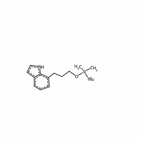 CC(C)(C)[Si](C)(C)OCCCc1cccc2cc[nH]c12